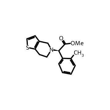 COC(=O)[C@@H](c1ccccc1C)N1CCc2sccc2C1